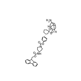 NC12CC3C[C@H](C1)[C@]1(OO[C@@]4(CCC[C@@H](c5ccc(OC(=O)N6CCC(NC(=O)OCC7c8ccccc8-c8ccccc87)CC6)cc5)C4)O1)[C@@H](C3)C2